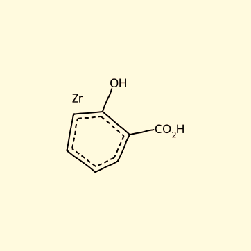 O=C(O)c1ccccc1O.[Zr]